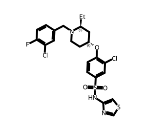 CC[C@H]1C[C@H](Oc2ccc(S(=O)(=O)Nc3cscn3)cc2Cl)CCN1Cc1ccc(F)c(Cl)c1